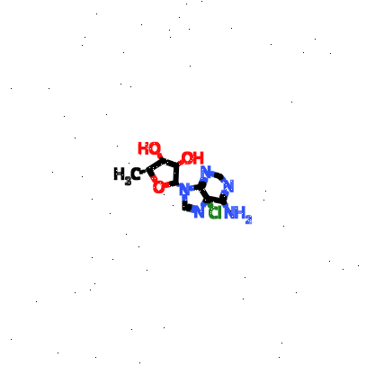 C[C@H]1O[C@@H](N2C=NC3(Cl)C(N)=NCN=C23)[C@H](O)[C@@H]1O